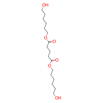 O=C(CCCC(=O)OCCCCCCO)OCCCCCCO